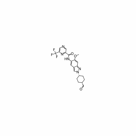 COc1cc2nn([C@H]3CC[C@H](C=O)CC3)cc2cc1NC(=O)c1cncc(C(F)(F)F)n1